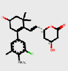 CC(=O)Nc1c(C)cc(C2=C(C=C[C@H]3C[C@H](O)CC(=O)O3)C(C)(C)CC(O)C2)cc1Cl